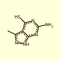 Cc1n[nH]c2nc(N)nc(S)c12